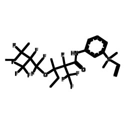 C=CS(C)(C)c1cccc(NC(=O)C(F)(C(F)(F)F)C(C)(CC)OC(F)(F)C(F)(C(F)(F)F)C(C)(F)CC)c1